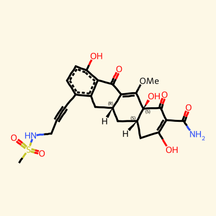 COC1=C2C(=O)c3c(O)ccc(C#CCNS(C)(=O)=O)c3C[C@H]2C[C@H]2CC(O)=C(C(N)=O)C(=O)[C@@]12O